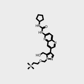 C[Si](C)(C)CCOCn1ncc(-c2cnc3ccc(NC(=O)NC4CCCC4)nc3c2)c1CO